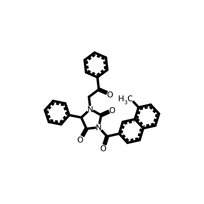 Cc1cccc2ccc(C(=O)N3C(=O)C(c4ccccc4)N(CC(=O)c4ccccc4)C3=O)cc12